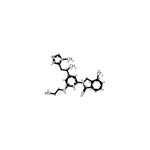 CC(Cc1nncn1C)c1cc(OCCO)nc(N2Cc3c(cccc3C(F)(F)F)C2=O)c1